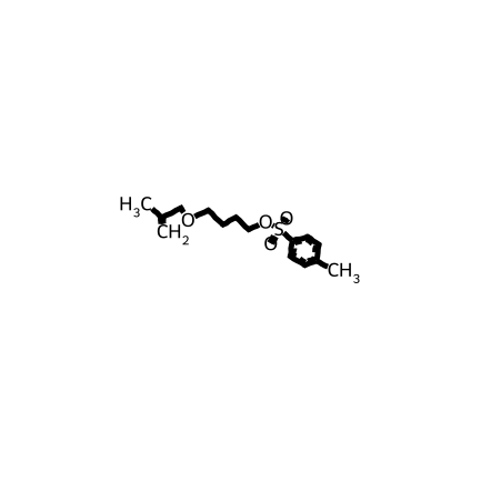 C=C(C)COCCCCOS(=O)(=O)c1ccc(C)cc1